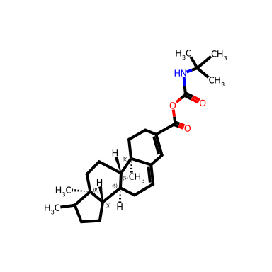 CC1CC[C@H]2[C@@H]3CC=C4C=C(C(=O)OC(=O)NC(C)(C)C)CC[C@]4(C)[C@H]3CC[C@]12C